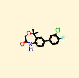 CC1(C)OCC(=O)Nc2ccc(-c3ccc(F)c(Cl)c3)cc21